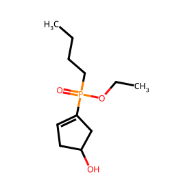 CCCCP(=O)(OCC)C1=CCC(O)C1